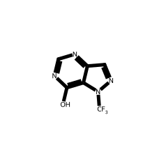 Oc1ncnc2cnn(C(F)(F)F)c12